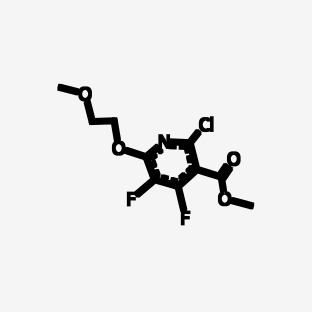 COCCOc1nc(Cl)c(C(=O)OC)c(F)c1F